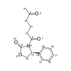 CC(=O)CCCC(=O)N1C(=O)OC[C@@H]1c1ccccc1